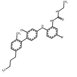 CCCCc1ccc(C)c(-c2ccc(Nc3ccc(Br)cc3NC(=O)NCC)cc2Cl)c1